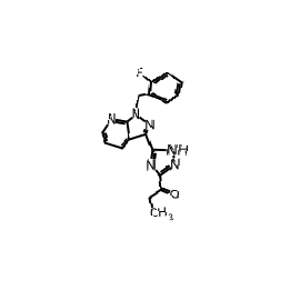 CCC(=O)c1n[nH]c(-c2nn(Cc3ccccc3F)c3ncccc23)n1